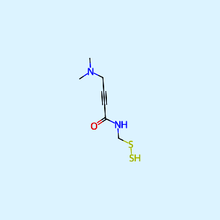 CN(C)CC#CC(=O)NCSS